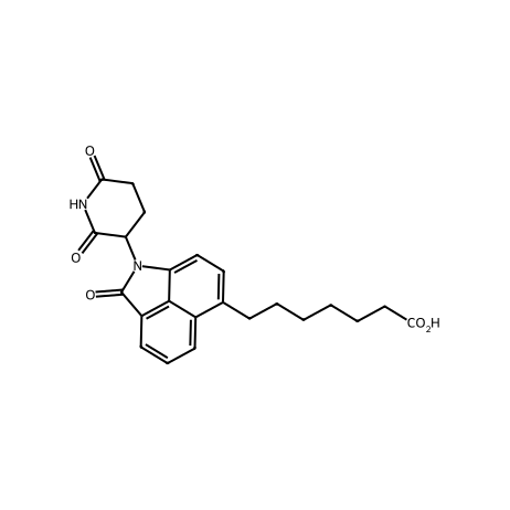 O=C(O)CCCCCCc1ccc2c3c(cccc13)C(=O)N2C1CCC(=O)NC1=O